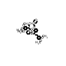 C=CC[C@H](C(=O)N1CCCC[C@H]1C(=O)N[C@H](CCc1ccc(OC)c(OC)c1)c1cccc(OCCN2CCOCC2)c1)c1cc(OC)c(OC)c(OC)c1